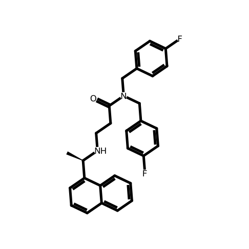 C[C@@H](NCCC(=O)N(Cc1ccc(F)cc1)Cc1ccc(F)cc1)c1cccc2ccccc12